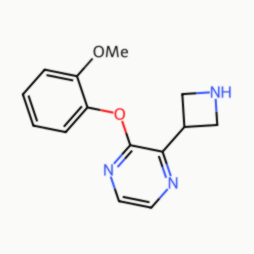 COc1ccccc1Oc1nccnc1C1CNC1